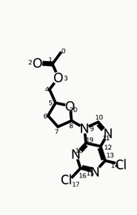 CC(=O)OCC1CCC(n2cnc3c(Cl)nc(Cl)nc32)O1